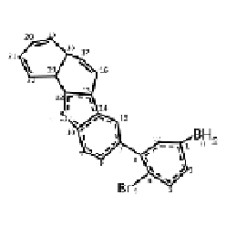 Bc1ccc(Br)c(-c2ccc3sc4c(c3c2)C=CC2C=CC=CC42)c1